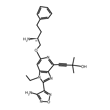 CCn1c(-c2nonc2N)nc2c(C#CC(C)(C)O)nc(OC[C@@H](N)CCc3ccccc3)cc21